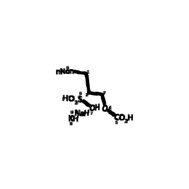 CCCCCCCCCCCCOC(=O)O.O=S(=O)(O)O.[KH].[NaH]